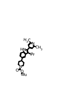 Cc1cc(-c2[nH]c3ccc(C4CCN(C(=O)OC(C)(C)C)CC4)cc3c2C(C)C)cc(C)n1